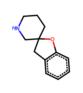 c1ccc2c(c1)CC1(CCCNC1)O2